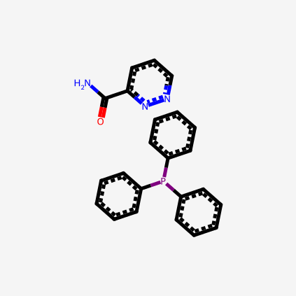 NC(=O)c1cccnn1.c1ccc(P(c2ccccc2)c2ccccc2)cc1